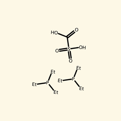 CCP(CC)CC.CCP(CC)CC.O=C(O)S(=O)(=O)O